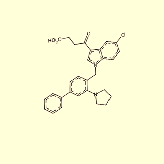 O=C(O)CCC(=O)c1cn(Cc2ccc(-c3ccccc3)cc2N2CCCC2)c2ccc(Cl)cc12